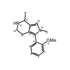 COc1ccccc1-c1c2c(nn1C)C(C)NCC2